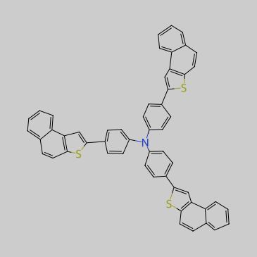 c1ccc2c(c1)ccc1sc(-c3ccc(N(c4ccc(-c5cc6c(ccc7ccccc76)s5)cc4)c4ccc(-c5cc6c(ccc7ccccc76)s5)cc4)cc3)cc12